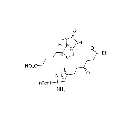 CCCCCC(N)(N)CC(=O)CCC(=O)CCC(=O)CC.O=C(O)CCCC[C@@H]1SC[C@@H]2NC(=O)N[C@@H]21